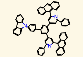 c1ccc(-c2cc(-c3cc(-c4ccc(-n5c6ccccc6c6ccccc65)cc4)cc(-c4cc(-c5ccccc5)nc(-c5c6ccccc6cc6ccccc56)c4)c3)cc(-c3c4ccccc4cc4ccccc34)n2)cc1